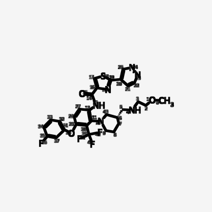 COCCNC[C@@H]1CCCN(c2c(NC(=O)c3csc(-c4ccnnc4)n3)ccc(Oc3cccc(F)c3)c2C(F)(F)F)C1